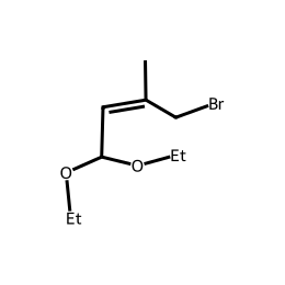 CCOC(C=C(C)CBr)OCC